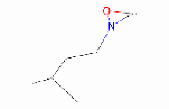 CC(C)CCN1[CH]O1